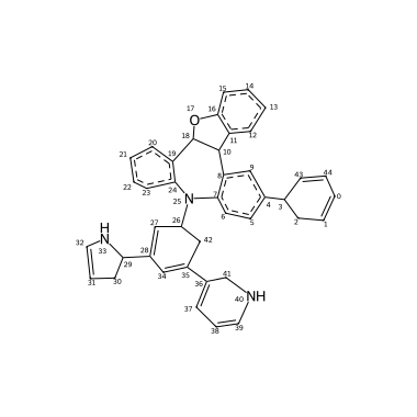 C1=CCC(c2ccc3c(c2)C2c4ccccc4OC2c2ccccc2N3C2C=C(C3CC=CN3)C=C(C3=CC=CNC3)C2)C=C1